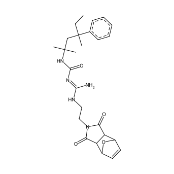 CCC(C)(CC(C)(C)NC(=O)/N=C(\N)NCCN1C(=O)C2C3C=CC(O3)C2C1=O)c1ccccc1